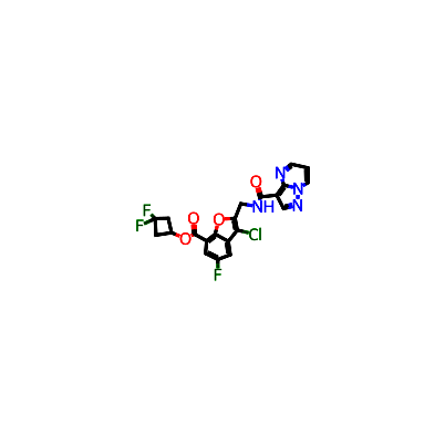 O=C(OC1CC(F)(F)C1)c1cc(F)cc2c(Cl)c(CNC(=O)c3cnn4cccnc34)oc12